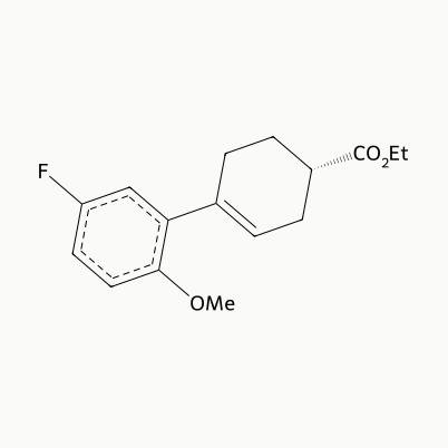 CCOC(=O)[C@@H]1CC=C(c2cc(F)ccc2OC)CC1